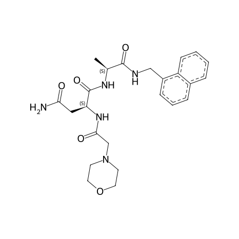 C[C@H](NC(=O)[C@H](CC(N)=O)NC(=O)CN1CCOCC1)C(=O)NCc1cccc2ccccc12